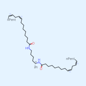 CCCCC/C=C\C/C=C\CCCCCCCC(=O)NCCCC[C@H](NC(=O)CCCCCCC/C=C\C/C=C\CCCCC)C(C)C